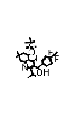 CC(C)c1nc2c(c(I)c1[C@@H](O)c1ccc(C(C)(F)F)cc1)[C@@H](O[Si](C)(C)C(C)(C)C)CC(C)(C)C2